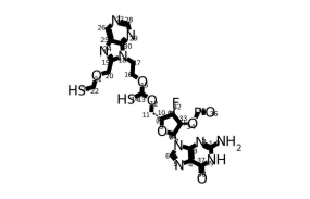 Nc1nc2c(ncn2[C@@H]2O[C@H](COC(S)OCCn3c(COCS)nc4cncnc43)[C@H](F)[C@H]2OP=O)c(=O)[nH]1